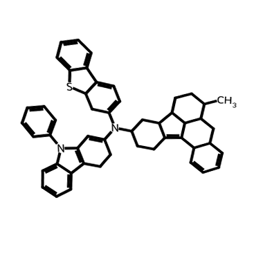 CC1CCC2C3CC(N(C4=Cc5c(c6ccccc6n5-c5ccccc5)CC4)C4=CC=C5c6ccccc6SC5C4)CCC3=C3C4C=CC=CC4CC1C32